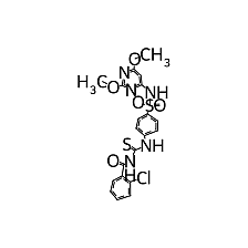 COc1cc(NS(=O)(=O)c2ccc(NC(=S)NC(=O)c3ccccc3Cl)cc2)nc(OC)n1